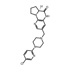 O=C1Nc2cc(CN3CCN(c4ccc(Cl)cn4)CC3)cnc2N2CCC[C@@H]12